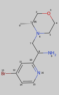 C[C@@H]1COCCN1CC(N)c1cc(Br)ccn1